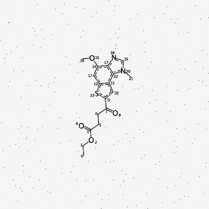 CCOC(=O)CCC(=O)c1cc2c(cc(OC)c3ncn(C)c32)s1